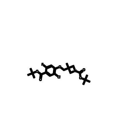 CC1(COc2cc(F)c(C(=O)OC(C)(C)C)cc2Cl)CN(C(=O)OC(C)(C)C)C1